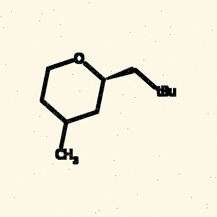 CC1CCO[C@H](CC(C)(C)C)C1